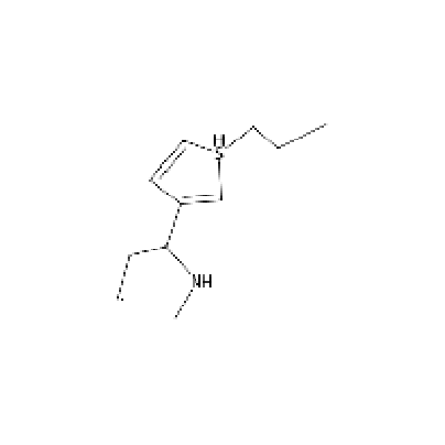 [CH2]CC(NC)C1=C[SH](CCC)C=C1